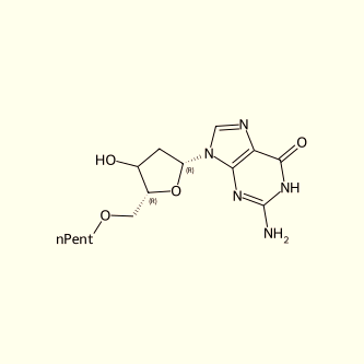 CCCCCOC[C@H]1O[C@@H](n2cnc3c(=O)[nH]c(N)nc32)CC1O